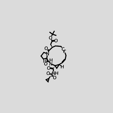 CC(C)(C)OC(=O)C[C@H]1CCCCC/C=C\[C@@H]2C[C@@]2(C(=O)NS(=O)(=O)C2CC2)NC(=O)[C@@H]2CCCN2C1=O